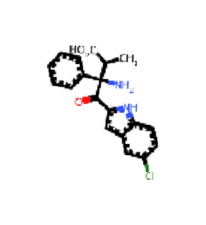 CC(C(=O)O)C(N)(C(=O)c1cc2cc(Cl)ccc2[nH]1)c1ccccc1